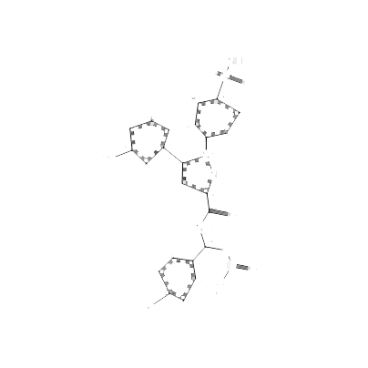 NS(=O)(=O)c1ccc(-n2nc(C(=O)NC(O[PH](=O)O)c3ccc(Br)cc3)cc2-c2cccc(F)c2)cc1